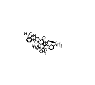 CC#CCn1c(N2CCC[C@@H](N)C2)c(C(=O)N(C)C)c2c1c(=O)n(Cc1nc(C)c3ccccc3n1)c(=O)n2C